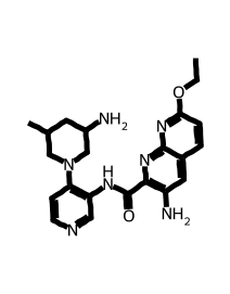 CCOc1ccc2cc(N)c(C(=O)Nc3cnccc3N3CC(C)CC(N)C3)nc2n1